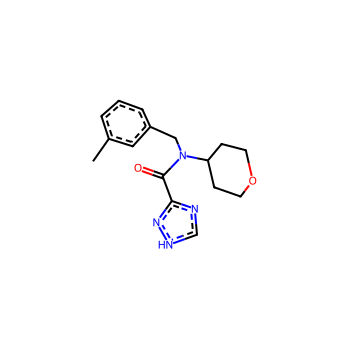 Cc1cccc(CN(C(=O)c2nc[nH]n2)C2CCOCC2)c1